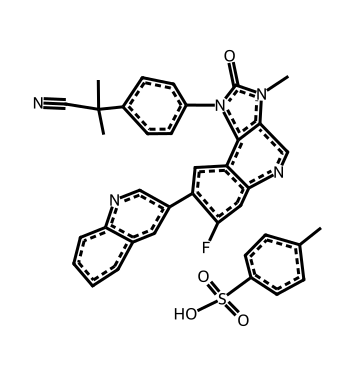 Cc1ccc(S(=O)(=O)O)cc1.Cn1c(=O)n(-c2ccc(C(C)(C)C#N)cc2)c2c3cc(-c4cnc5ccccc5c4)c(F)cc3ncc21